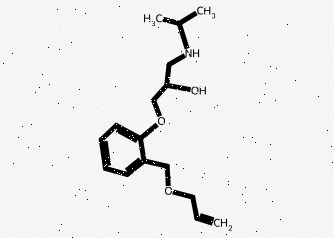 C=CCOCc1ccccc1OCC(O)CNC(C)C